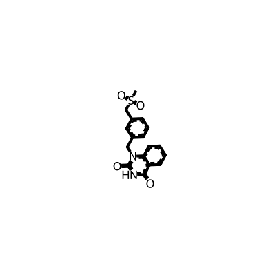 CS(=O)(=O)Cc1cccc(Cn2c(=O)[nH]c(=O)c3ccccc32)c1